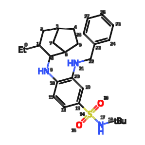 CCC1CC2CCC(C2)C1Nc1ccc(S(=O)(=O)NC(C)(C)C)cc1NCc1ccccc1